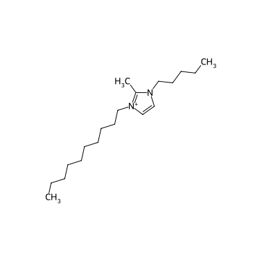 CCCCCCCCCC[n+]1ccn(CCCCC)c1C